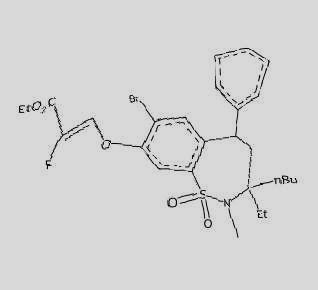 CCCCC1(CC)CC(c2ccccc2)c2cc(Br)c(O/C=C(\F)C(=O)OCC)cc2S(=O)(=O)N1C